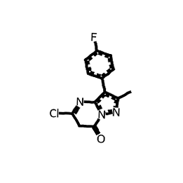 Cc1nn2c(c1-c1ccc(F)cc1)N=C(Cl)CC2=O